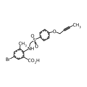 CC#CCOc1ccc(S(=O)(=O)CNc2c(C)cc(Br)cc2C(=O)O)cc1